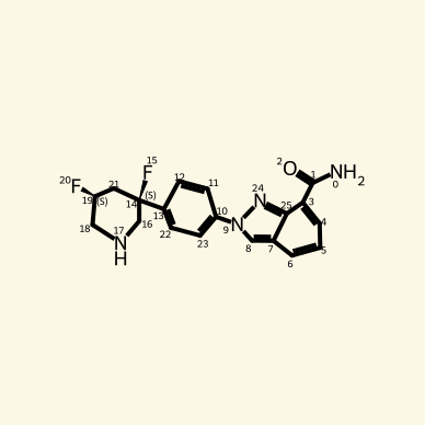 NC(=O)c1cccc2cn(-c3ccc([C@]4(F)CNC[C@@H](F)C4)cc3)nc12